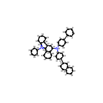 c1ccc(-c2ccc(N(c3ccc(-c4ccc5ccccc5c4)cc3)c3cc4c5ccccc5n(-c5ccccc5)c4c4ccccc34)cc2)cc1